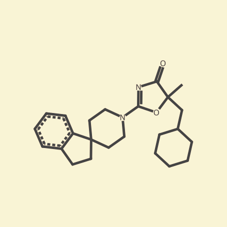 CC1(CC2CCCCC2)OC(N2CCC3(CCc4ccccc43)CC2)=NC1=O